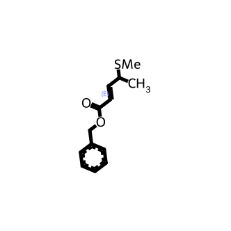 CSC(C)/C=C/C(=O)OCc1ccccc1